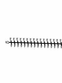 OC(F)(F)C(F)(F)C(F)(F)C(F)(F)C(F)(F)C(F)(F)C(F)(F)C(F)(F)C(F)(F)C(F)(F)C(F)(F)C(F)(F)C(F)(F)C(F)(F)C(F)(F)C(O)(F)F